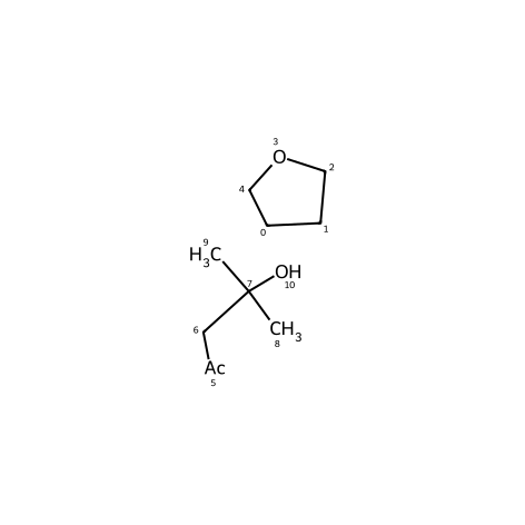 C1CCOC1.CC(=O)CC(C)(C)O